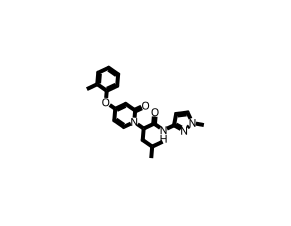 Cc1ccccc1Oc1ccn(C(CC(C)C)C(=O)Nc2ccn(C)n2)c(=O)c1